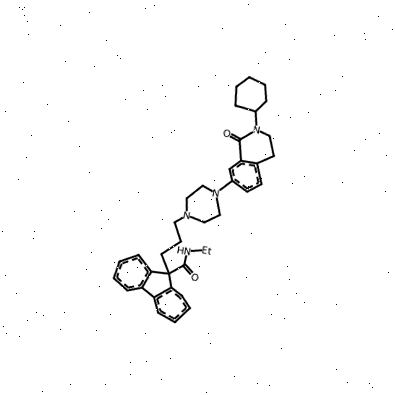 CCNC(=O)C1(CCCN2CCN(c3ccc4c(c3)C(=O)N(C3CCCCC3)CC4)CC2)c2ccccc2-c2ccccc21